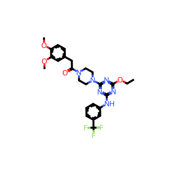 CCOc1nc(Nc2cccc(C(F)(F)F)c2)nc(N2CCN(C(=O)Cc3ccc(OC)c(OC)c3)CC2)n1